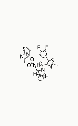 Cc1nc(C(=O)N2C[C@@H]3CCC[C@@H]3[C@H]2CNC(=O)Oc2c(C)nc3sccn23)c(-c2ccc(F)c(F)c2)s1